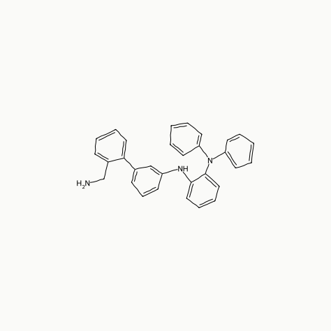 NCc1ccccc1-c1cccc(Nc2ccccc2N(c2ccccc2)c2ccccc2)c1